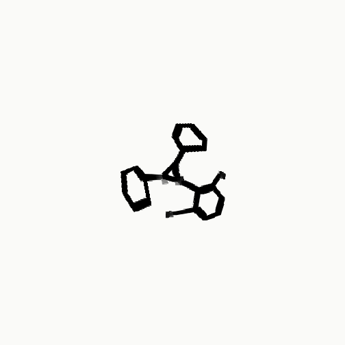 CC(C)c1cccc(C(C)C)c1N1C(c2ccccc2)[C@@H]1c1ccccc1